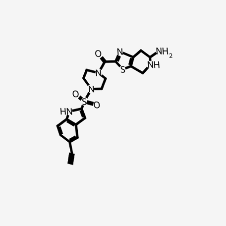 C#Cc1ccc2[nH]c(S(=O)(=O)N3CCN(C(=O)c4nc5c(s4)CNC(N)C5)CC3)cc2c1